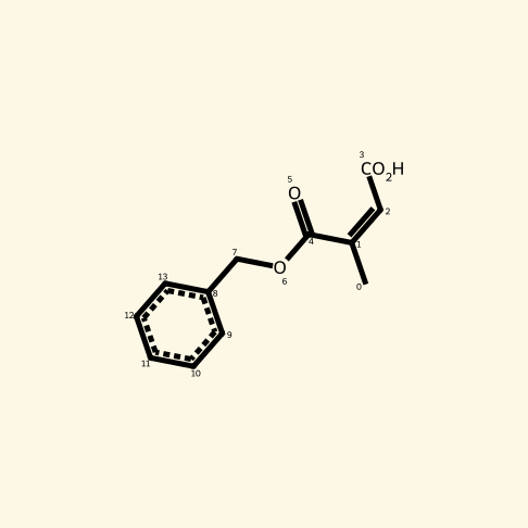 C/C(=C/C(=O)O)C(=O)OCc1ccccc1